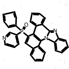 O=P(c1ccccc1)(c1cccnc1)c1cc2ccccc2c2c1c1ccccc1c1nc3ccccc3n12